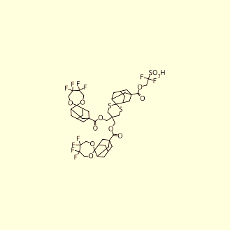 O=C(OCC1(COC(=O)C23CC4CC(C2)C2(OCC(F)(F)C(F)(F)CO2)C(C4)C3)CSC2(SC1)C1CC3CC2CC(C(=O)OCC(F)(F)S(=O)(=O)O)(C3)C1)C12CC3CC(C1)C1(OCC(F)(F)C(F)(F)CO1)C(C3)C2